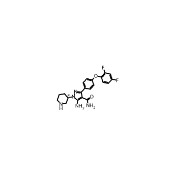 NC(=O)c1c(-c2ccc(Oc3ccc(F)cc3F)cc2)nn([C@@H]2CCCNC2)c1N